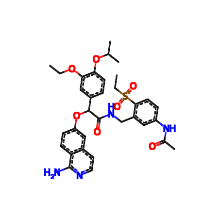 CCOc1cc(C(Oc2ccc3c(N)nccc3c2)C(=O)NCc2cc(NC(C)=O)ccc2S(=O)(=O)CC)ccc1OC(C)C